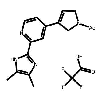 CC(=O)N1CC=C(c2ccnc(-c3nc(C)c(C)[nH]3)c2)C1.O=C(O)C(F)(F)F